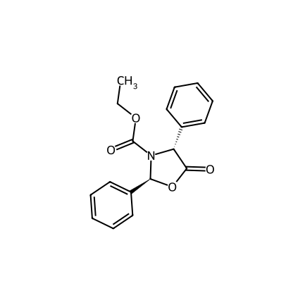 CCOC(=O)N1[C@H](c2ccccc2)OC(=O)[C@H]1c1ccccc1